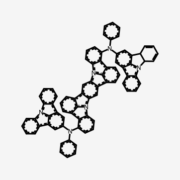 C1=CC2c3cc(N(c4ccccc4)c4cccc5c4c4cccc6c7cc8c(cc7n5c64)c4cccc5c6c(N(c7ccccc7)c7cc9c%10ccccc%10n%10c%11ccccc%11c(c7)c9%10)cccc6n8c45)cc4c5ccccc5n(c34)C2C=C1